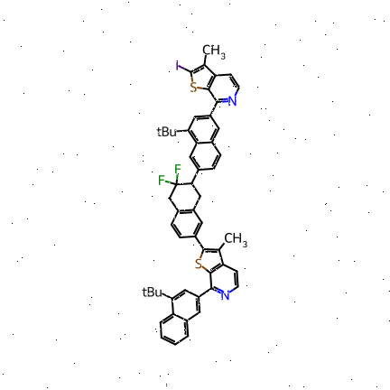 Cc1c(I)sc2c(-c3cc(C(C)(C)C)c4cc(C5Cc6cc(-c7sc8c(-c9cc(C(C)(C)C)c%10ccccc%10c9)nccc8c7C)ccc6CC5(F)F)ccc4c3)nccc12